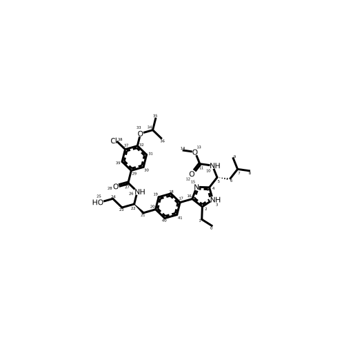 CCc1[nH]c([C@@H](CC(C)C)NC(=O)OC)nc1-c1ccc(C[C@@H](CCO)NC(=O)c2ccc(OC(C)C)c(Cl)c2)cc1